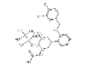 C[C@H]1CN(c2ccncc2NCc2ccc(F)c(Br)n2)C[C@@H](NC(=O)O)[C@@H]1O[Si](C)(C)C(C)(C)C